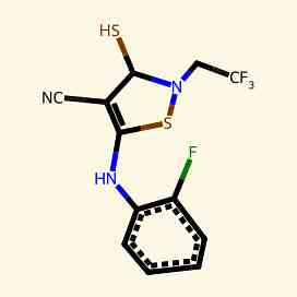 N#CC1=C(Nc2ccccc2F)SN(CC(F)(F)F)C1S